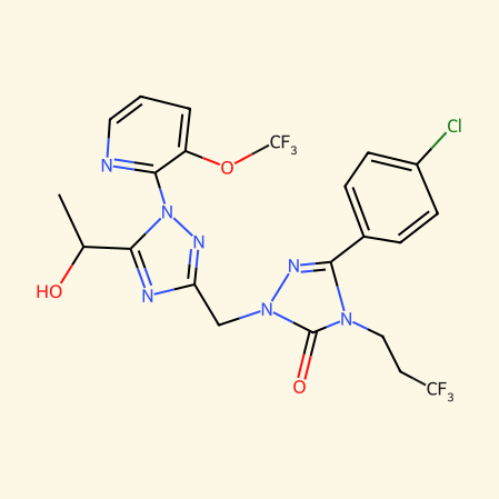 CC(O)c1nc(Cn2nc(-c3ccc(Cl)cc3)n(CCC(F)(F)F)c2=O)nn1-c1ncccc1OC(F)(F)F